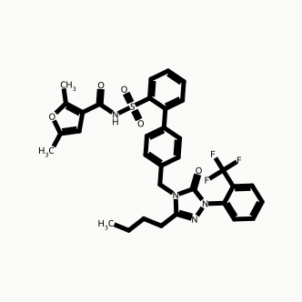 CCCCc1nn(-c2ccccc2C(F)(F)F)c(=O)n1Cc1ccc(-c2ccccc2S(=O)(=O)NC(=O)c2cc(C)oc2C)cc1